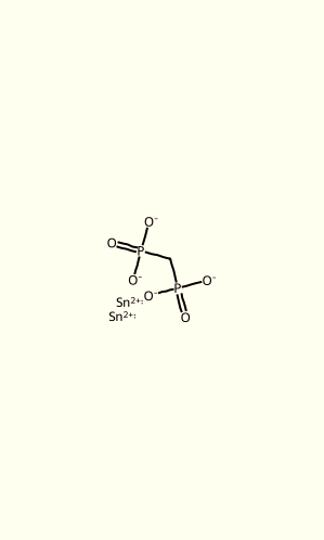 O=P([O-])([O-])CP(=O)([O-])[O-].[Sn+2].[Sn+2]